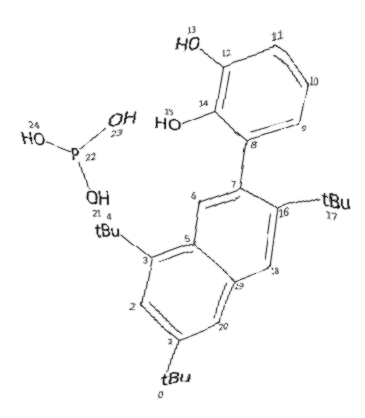 CC(C)(C)c1cc(C(C)(C)C)c2cc(-c3cccc(O)c3O)c(C(C)(C)C)cc2c1.OP(O)O